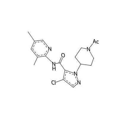 CC(=O)N1CCC(n2ncc(Cl)c2C(=O)Nc2ncc(C)cc2C)CC1